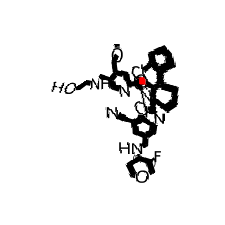 COCc1cc(C(=O)NC2(c3nc4cc(CN[C@@H]5CCOC[C@@H]5F)cc(C#N)c4o3)C=CC=C(c3ccccc3Cl)C2Cl)ncc1CNCCO